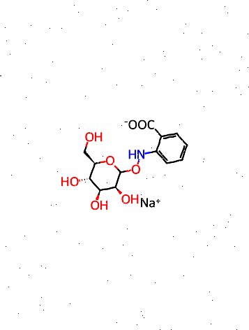 O=C([O-])c1ccccc1NOC1O[C@H](CO)[C@@H](O)[C@H](O)[C@@H]1O.[Na+]